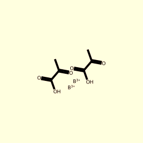 CC(=O)C(=O)O.CC(=O)C(=O)O.[B+3].[B+3]